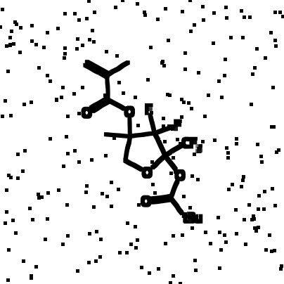 C=C(C)C(=O)OC1(C)COC(OC(=O)C(C)(C)C)(C(F)(F)F)C1(F)F